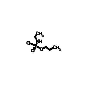 CCCOP(=O)(Cl)NCC